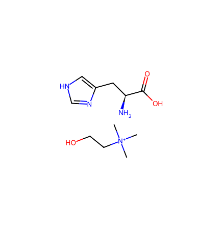 C[N+](C)(C)CCO.N[C@@H](Cc1c[nH]cn1)C(=O)O